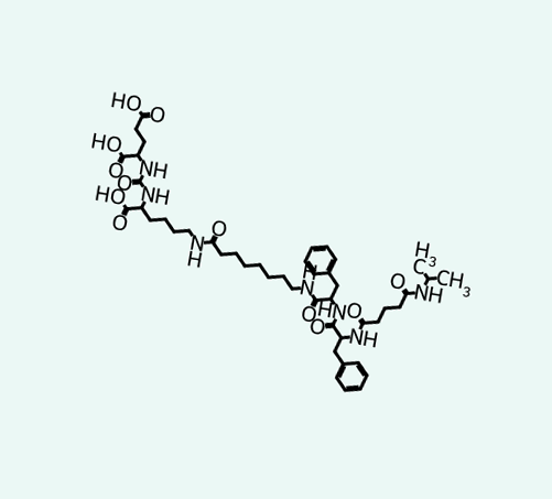 CC(C)NC(=O)CCCC(=O)NC(Cc1ccccc1)C(=O)NC(Cc1ccccc1)C(=O)NCCCCCCCC(=O)NCCCCC(NC(=O)NC(CCC(=O)O)C(=O)O)C(=O)O